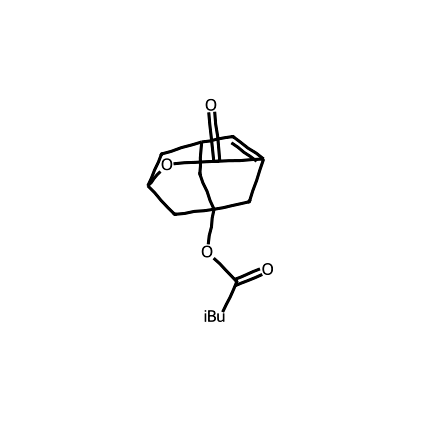 CCC(C)C(=O)OC12CC3=CC(CC(C1)OC3=O)C2